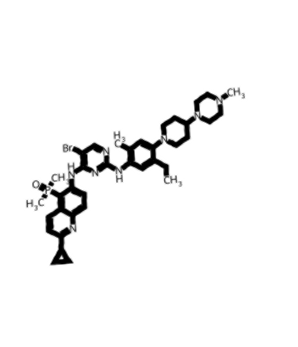 CCc1cc(Nc2ncc(Br)c(Nc3ccc4nc(C5CC5)ccc4c3P(C)(C)=O)n2)c(C)cc1N1CCC(N2CCN(C)CC2)CC1